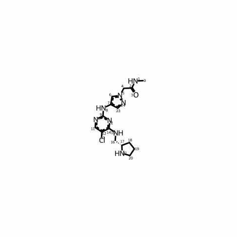 CNC(=O)Cn1cc(Nc2ncc(Cl)c(NC[C@@H]3CCCN3)n2)cn1